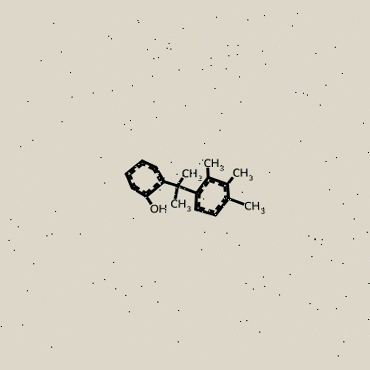 Cc1ccc(C(C)(C)c2ccccc2O)c(C)c1C